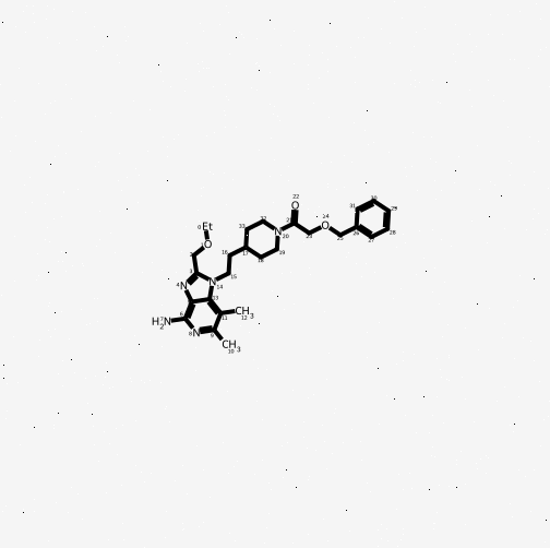 CCOCc1nc2c(N)nc(C)c(C)c2n1CCC1CCN(C(=O)COCc2ccccc2)CC1